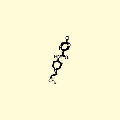 O=C(NC1CCN(CCC(F)(F)F)CC1)c1cnc(Cl)cn1